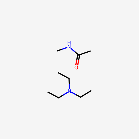 CCN(CC)CC.CNC(C)=O